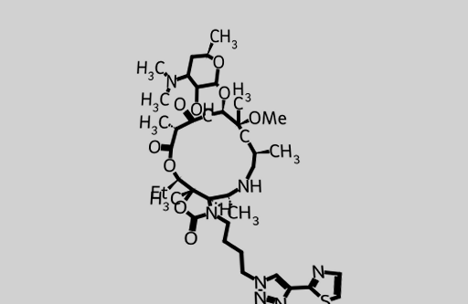 CC[C@H]1OC(=O)[C@H](C)C(=O)C[C@@H](O[C@@H]2O[C@H](C)CC(N(C)C)C2O)[C@@](C)(OC)C[C@@H](C)CN[C@H](C)[C@H]2N(CCCCn3cc(-c4nccs4)nn3)C(=O)O[C@]12C